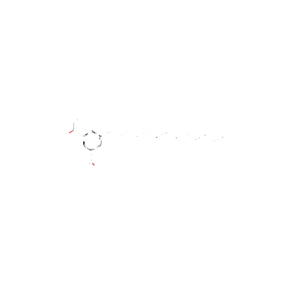 CCCCCCCCCCCCCNc1cc(C(=O)O)cc(C(=O)O)c1